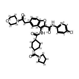 O=C(Nc1ccc(Cl)cn1)c1oc2ccc(CC(=O)N3CCOCC3)cc2c1NC(=O)[C@H]1CC[C@H](C(=O)N2CCCC2)CC1